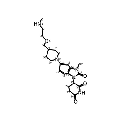 CNCCOCC1CCN(c2ccc3c(c2)n(C)c(=O)n3C2CCC(=O)NC2=O)CC1